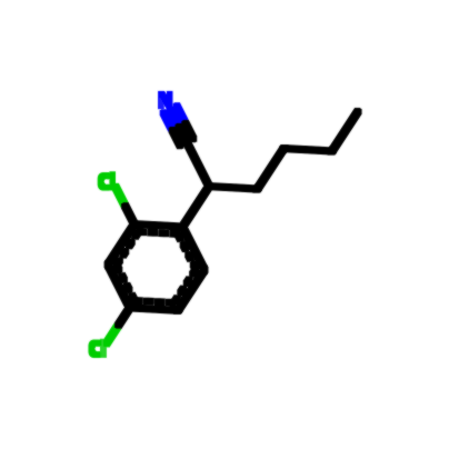 CCCCC(C#N)c1ccc(Cl)cc1Cl